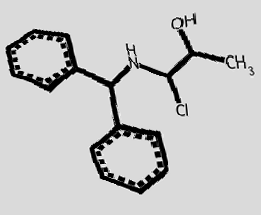 CC(O)C(Cl)NC(c1ccccc1)c1ccccc1